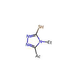 CCn1c(S)nnc1C(C)=O